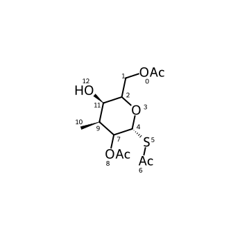 CC(=O)OCC1O[C@H](SC(C)=O)C(OC(C)=O)[C@@H](C)[C@H]1O